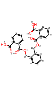 O=C(O)c1ccccc1C(=O)OCc1ccccc1COC(=O)c1ccccc1C(=O)O